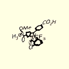 COCCN(C)C(=O)c1ccc2c(C3=CCC(C(=O)O)CC3)nn(C(=O)c3c(Cl)cccc3C(F)(F)F)c2c1